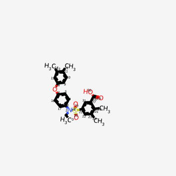 CCN(c1ccc(Oc2ccc(C)c(C)c2)cc1)S(=O)(=O)c1cc(C)c(C)c(C(=O)O)c1